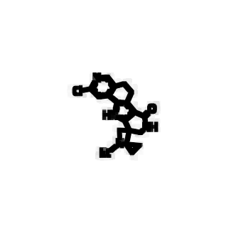 CCN1CC2(CNC(=O)c3c2[nH]c2c3CCc3cnc(Cl)cc3-2)C12CC2